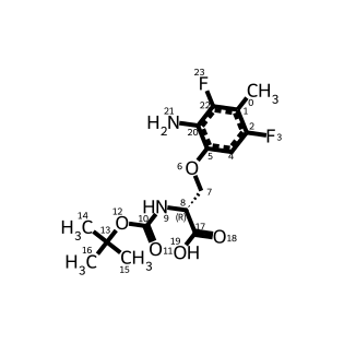 Cc1c(F)cc(OC[C@@H](NC(=O)OC(C)(C)C)C(=O)O)c(N)c1F